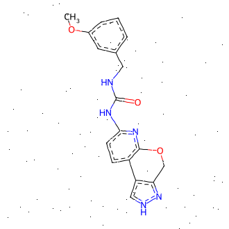 COc1cccc(CNC(=O)Nc2ccc3c(n2)OCc2n[nH]cc2-3)c1